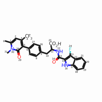 Cc1cc(C(F)(F)F)c(-c2ccc(CC(NC(=O)c3[nH]c4ccccc4c3F)C(=O)O)cc2)c(=O)n1C